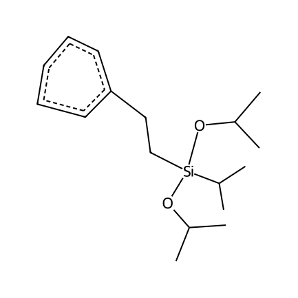 CC(C)O[Si](CCc1ccccc1)(OC(C)C)C(C)C